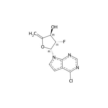 C=C1O[C@@H](n2ccc3c(Cl)ncnc32)[C@@H](F)[C@@H]1O